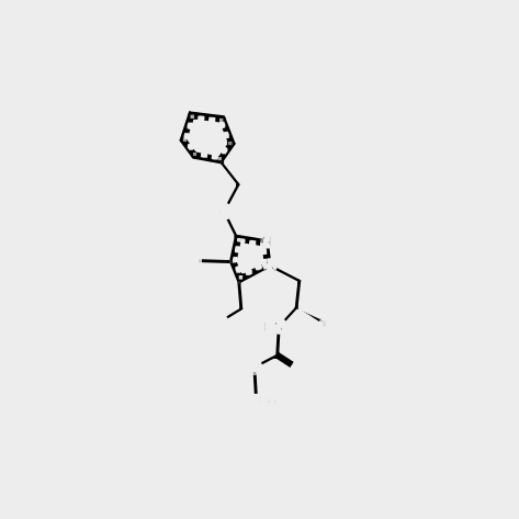 CC(C)[C@H](Cn1nc(OCc2ccccc2)c(Cl)c1CO)NC(=O)OC(C)(C)C